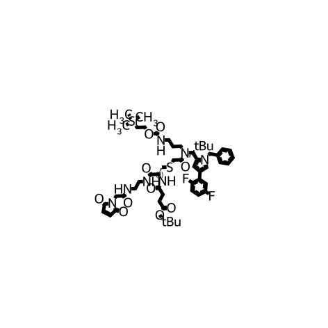 CC(C)(C)OC(=O)CCC(=O)N[C@@H](CSCC(=O)N(CCCNC(=O)OCC[Si](C)(C)C)[C@@H](c1cc(-c2cc(F)ccc2F)cn1Cc1ccccc1)C(C)(C)C)C(=O)NCCNC(=O)CN1C(=O)C=CC1=O